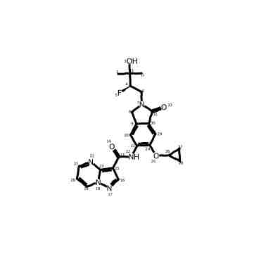 CC(C)(O)[C@H](F)CN1Cc2cc(NC(=O)c3cnn4cccnc34)c(OC3CC3)cc2C1=O